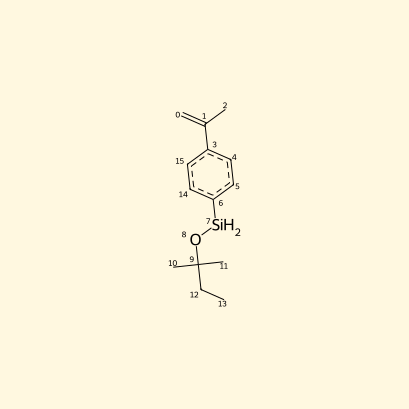 C=C(C)c1ccc([SiH2]OC(C)(C)CC)cc1